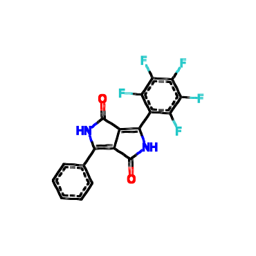 O=C1NC(c2c(F)c(F)c(F)c(F)c2F)=C2C(=O)NC(c3ccccc3)=C12